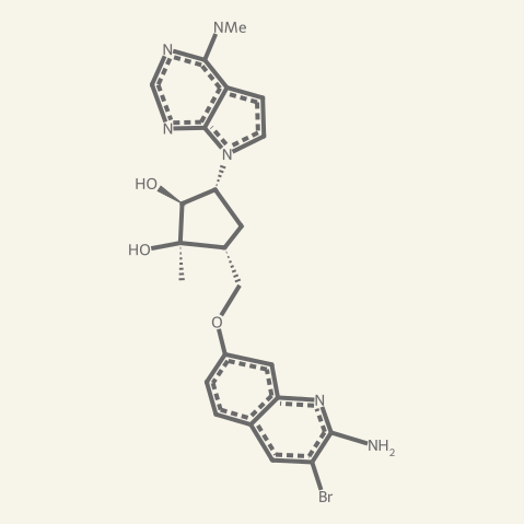 CNc1ncnc2c1ccn2[C@@H]1C[C@H](COc2ccc3cc(Br)c(N)nc3c2)[C@@](C)(O)[C@H]1O